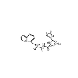 COC[C@H](NC(=O)c1csc(C)n1)C(=O)N[C@@H](C)C(=O)NCc1cccc2ccccc12